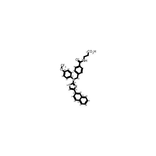 O=C(O)CCNC(=O)c1ccc(CN(c2ccc(OC(F)(F)F)cc2)c2nc(-c3ccc4ccccc4c3)cs2)cc1